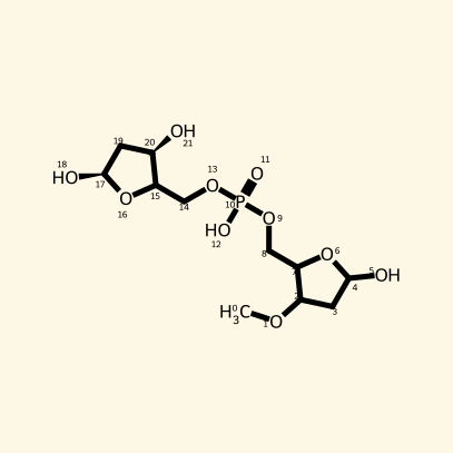 COC1CC(O)OC1COP(=O)(O)OCC1O[C@@H](O)C[C@H]1O